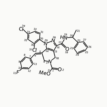 COC(=O)N1C/C(=C\c2ccc(F)cc2)c2c(c(C(=O)NC(C)c3ccccc3)nn2-c2ccc(Cl)cc2Cl)C1